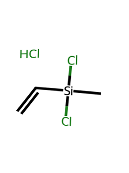 C=C[Si](C)(Cl)Cl.Cl